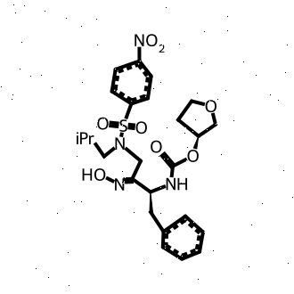 CC(C)CN(CC(=NO)[C@H](Cc1ccccc1)NC(=O)O[C@H]1CCOC1)S(=O)(=O)c1ccc([N+](=O)[O-])cc1